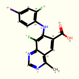 Cc1ncnc2c(F)c(Nc3ccc(I)cc3F)c(C(=O)O)cc12